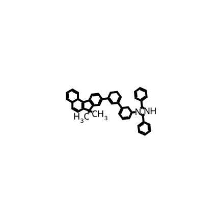 CC1(C)C2=C(c3ccc(C4=CC(C5=CC=CC(N6C(c7ccccc7)NC6c6ccccc6)C5)=CCC4)cc31)C1C=CC=CC1C=C2